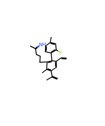 C=Cc1cc(C(=C)C)c(C)c(CCCC(C)=N)c1-c1ccc(C)cc1F